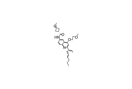 C/C=C(\S/C=C/CCC)c1cc(OCCOC)c2cc(NC(=O)[C@H]3C[C@H](OC)C3)ccc2n1